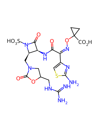 N=C(N)NCC1CN(C[C@@H]2[C@H](NC(=O)/C(=N\OC3(C(=O)O)CC3)c3csc(N)n3)C(=O)N2S(=O)(=O)O)C(=O)O1